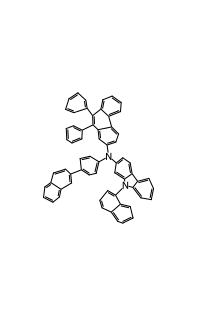 c1ccc(-c2c(-c3ccccc3)c3cc(N(c4ccc(-c5ccc6ccccc6c5)cc4)c4ccc5c6ccccc6n(-c6cccc7ccccc67)c5c4)ccc3c3ccccc23)cc1